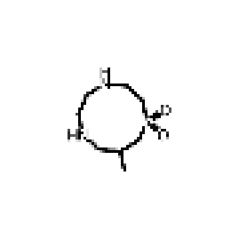 CC1CNCCNCCS(=O)(=O)C1